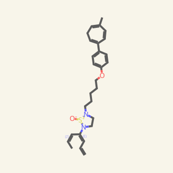 C=C/C=C(\C=C/C)N1CCN(CCCCCOc2ccc(C3=CCC=C(C)C=C3)cc2)[S+]1[O-]